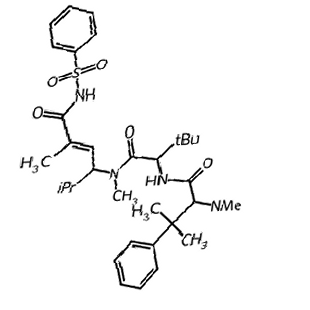 CNC(C(=O)NC(C(=O)N(C)C(C=C(C)C(=O)NS(=O)(=O)c1ccccc1)C(C)C)C(C)(C)C)C(C)(C)c1ccccc1